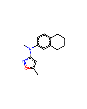 Cc1cc(N(C)c2ccc3c(c2)CCCC3)no1